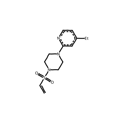 C=CS(=O)(=O)N1CCN(c2cc(CC)ccn2)CC1